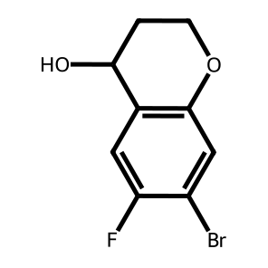 OC1CCOc2cc(Br)c(F)cc21